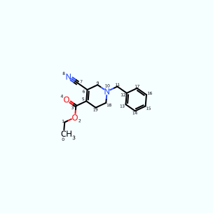 CCOC(=O)C1=C(C#N)CN(Cc2ccccc2)CC1